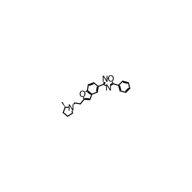 C[C@@H]1CCCN1CCc1cc2cc(-c3noc(-c4ccccc4)n3)ccc2o1